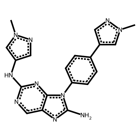 Cn1cc(Nc2ncc3nc(N)n(-c4ccc(-c5cnn(C)c5)cc4)c3n2)cn1